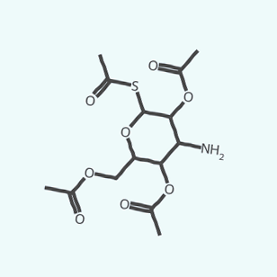 CC(=O)OCC1OC(SC(C)=O)C(OC(C)=O)C(N)C1OC(C)=O